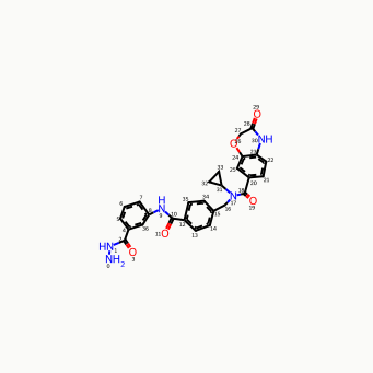 NNC(=O)c1cccc(NC(=O)c2ccc(CN(C(=O)c3ccc4c(c3)OCC(=O)N4)C3CC3)cc2)c1